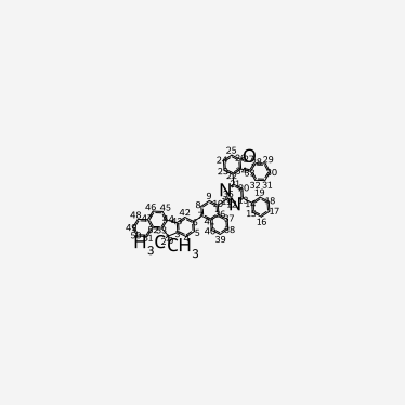 CC1(C)c2ccc(-c3ccc(-c4nc(-c5ccccc5)cc(-c5cccc6oc7ccccc7c56)n4)c4ccccc34)cc2-c2ccc3ccccc3c21